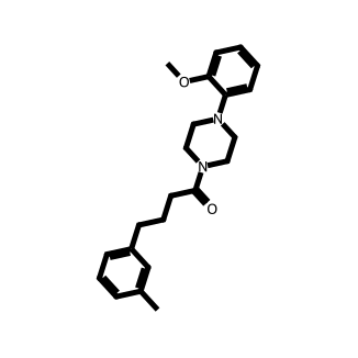 COc1ccccc1N1CCN(C(=O)CCCc2cccc(C)c2)CC1